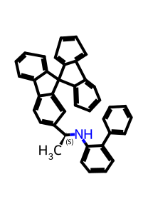 C[C@H](Nc1ccccc1-c1ccccc1)c1ccc2c(c1)C1(c3ccccc3-c3ccccc31)c1ccccc1-2